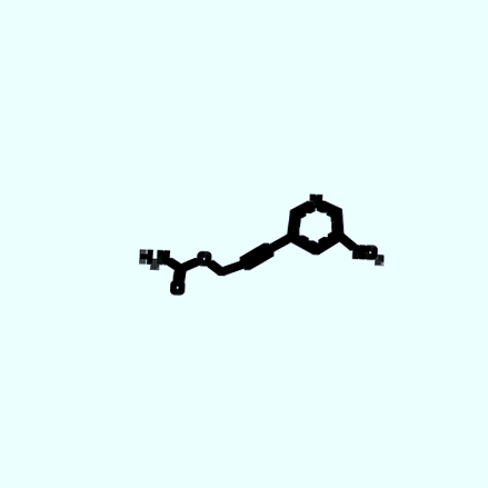 NC(=O)OCC#Cc1cncc([N+](=O)[O-])c1